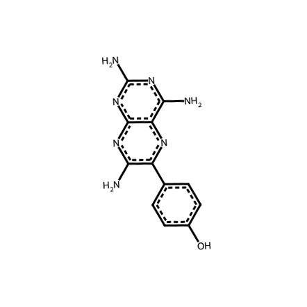 Nc1nc(N)c2nc(-c3ccc(O)cc3)c(N)nc2n1